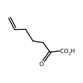 C=CCCCC(=O)C(=O)O